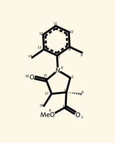 COC(=O)[C@]1(C)CN(c2c(C)cccc2C)C(=O)C1C